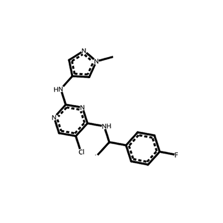 [CH2][C](Nc1nc(Nc2cnn(C)c2)ncc1Cl)c1ccc(F)cc1